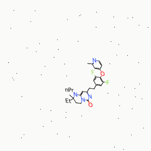 CCCN1c2cc(CCc3cc(F)c(Oc4ccnc(C)c4)c(F)c3)nc(=O)n2CCC1(C)CC